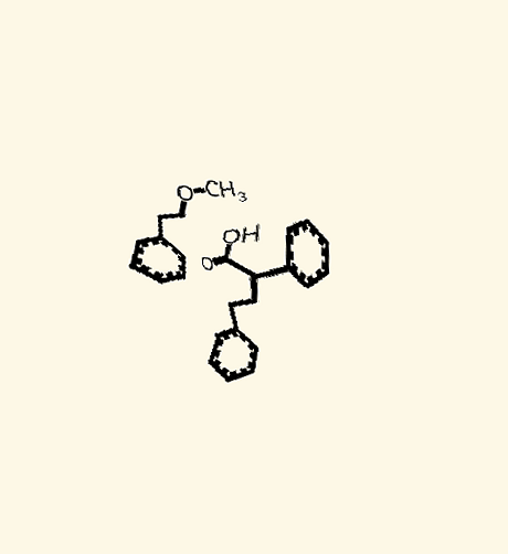 COCCc1ccccc1.O=C(O)C(CCc1ccccc1)c1ccccc1